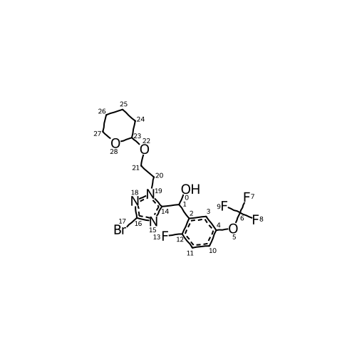 OC(c1cc(OC(F)(F)F)ccc1F)c1nc(Br)nn1CCOC1CCCCO1